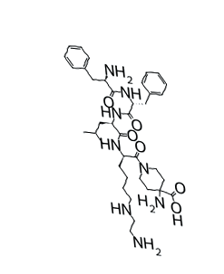 CC(C)C[C@@H](NC(=O)[C@@H](Cc1ccccc1)NC(=O)[C@H](N)Cc1ccccc1)C(=O)N[C@H](CCCCNCCN)C(=O)N1CCC(N)(C(=O)O)CC1